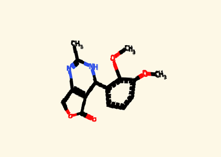 COc1cccc(C2NC(C)=NC3=C2C(=O)OC3)c1OC